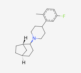 Cc1ccc(F)cc1C1CCN([C@H]2CC[C@H]3CC[C@H]2C3)CC1